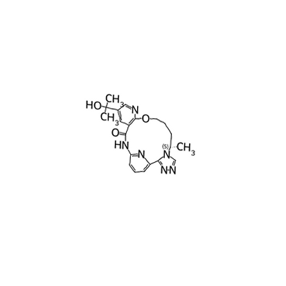 C[C@H]1CCCOc2ncc(C(C)(C)O)cc2C(=O)Nc2cccc(n2)-c2nncn21